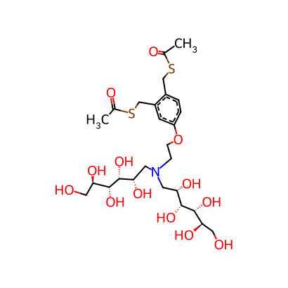 CC(=O)SCc1ccc(OCCN(C[C@H](O)[C@@H](O)[C@H](O)[C@H](O)CO)C[C@H](O)[C@@H](O)[C@H](O)[C@H](O)CO)cc1CSC(C)=O